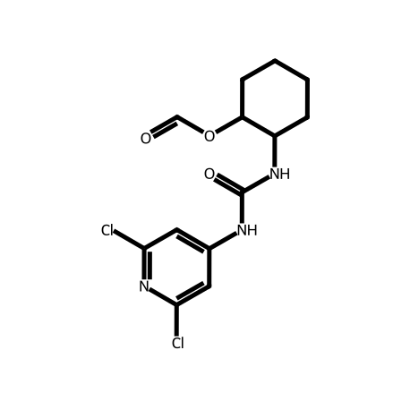 O=COC1CCCCC1NC(=O)Nc1cc(Cl)nc(Cl)c1